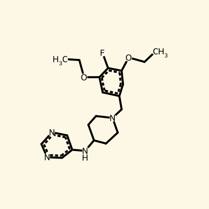 CCOc1cc(CN2CCC(Nc3cncnc3)CC2)cc(OCC)c1F